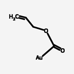 C=CCO[C](=O)[Au]